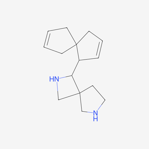 C1=CCC2(C1)CC=CC2C1NCC12CCNC2